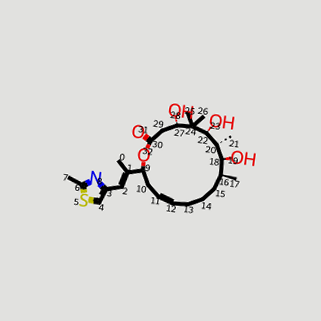 C/C(=C\c1csc(C)n1)C1C/C=C\CCC[C@H](C)[C@H](O)[C@@H](C)[C@@H](O)C(C)(C)[C@@H](O)CC(=O)O1